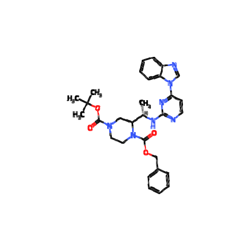 C[C@H](Nc1nccc(-n2cnc3ccccc32)n1)C1CN(C(=O)OC(C)(C)C)CCN1C(=O)OCc1ccccc1